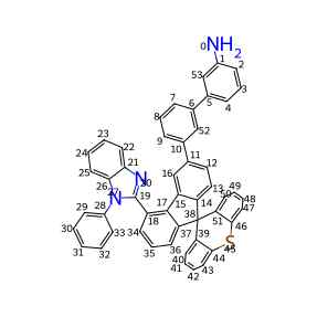 Nc1cccc(-c2cccc(-c3ccc4c(c3)-c3c(-c5nc6ccccc6n5-c5ccccc5)cccc3C43c4ccccc4Sc4ccccc43)c2)c1